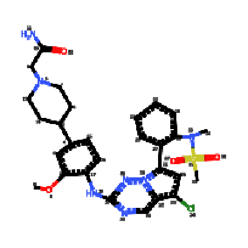 COc1cc(C2CCN(CC(N)=O)CC2)ccc1Nc1ncc2c(Cl)cc(-c3ccccc3N(C)S(C)(=O)=O)n2n1